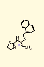 C/N=C(/NC1=NCCS1)SCc1cccc2ccccc12